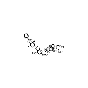 CC1O[C@@H](O[C@H]2CC[C@@]3(C)[C@H](CC[C@@H]4[C@@H]3C[C@@H](O)[C@]3(C)[C@@H](C(CO)CCO)CC[C@]43O)C2)C[C@@H](O)C1OC(C)[C@H]1C[C@H]2OC(c3ccccc3)OC2C(C)O1